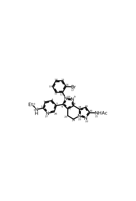 CCNc1ccc(-c2c3c(nn2-c2ccccc2Br)-c2cc(NC(C)=O)nn2CC3)cn1